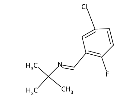 CC(C)(C)N=Cc1cc(Cl)ccc1F